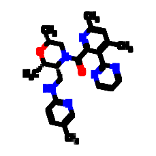 Cc1cc(C)c(-c2ncccn2)c(C(=O)N2C[C@@H](C)O[C@@H](C)[C@H]2CNc2ccc(C(F)(F)F)cn2)n1